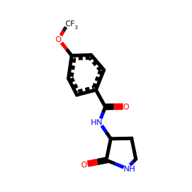 O=C(NC1CCNC1=O)c1ccc(OC(F)(F)F)cc1